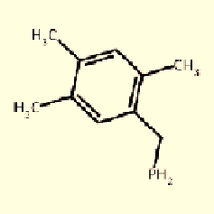 Cc1cc(C)c(CP)cc1C